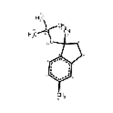 Cc1ccc2c(c1)CCC2(C#N)O[Si](C)(C)C